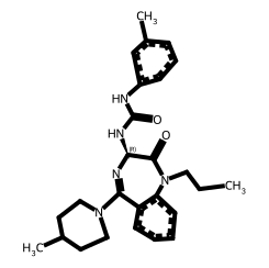 CCCN1C(=O)[C@H](NC(=O)Nc2cccc(C)c2)N=C(N2CCC(C)CC2)c2ccccc21